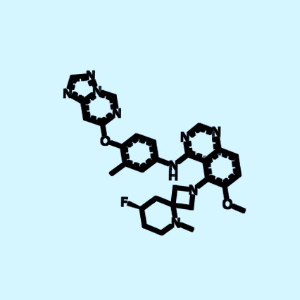 COc1ccc2ncnc(Nc3ccc(Oc4cc5ncnn5cn4)c(C)c3)c2c1N1CC2(C[C@H](F)CCN2C)C1